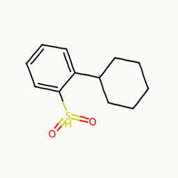 O=[SH](=O)c1ccccc1[C]1CCCCC1